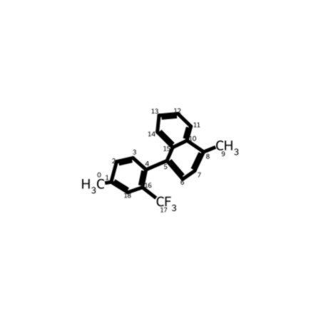 Cc1ccc(-c2ccc(C)c3ccccc23)c(C(F)(F)F)c1